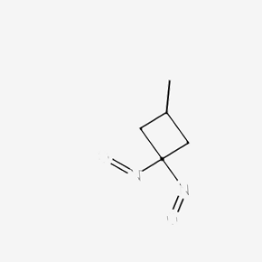 CC1CC(N=O)(N=O)C1